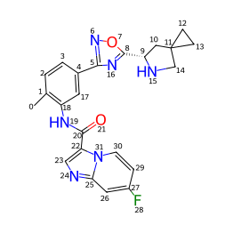 Cc1ccc(-c2noc([C@@H]3CC4(CC4)CN3)n2)cc1NC(=O)c1cnc2cc(F)ccn12